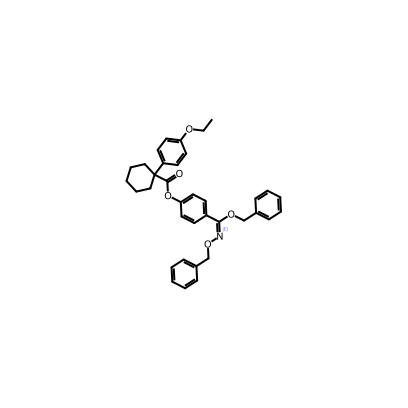 CCOc1ccc(C2(C(=O)Oc3ccc(/C(=N\OCc4ccccc4)OCc4ccccc4)cc3)CCCCC2)cc1